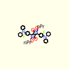 CCCOCN1C(=O)C2=C(c3ccc(N(c4ccccc4)C4CCCCC4)c(F)c3)N(COCCC)C(=O)C2=C1c1ccc(N(c2ccccc2)C2CCCCC2)c(F)c1